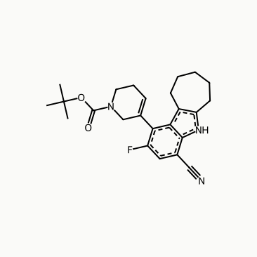 CC(C)(C)OC(=O)N1CCC=C(c2c(F)cc(C#N)c3[nH]c4c(c23)CCCCC4)C1